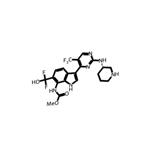 COC(=O)Nc1c(C(O)(F)F)ccc2c(-c3nc(N[C@H]4CCCNC4)ncc3C(F)(F)F)c[nH]c12